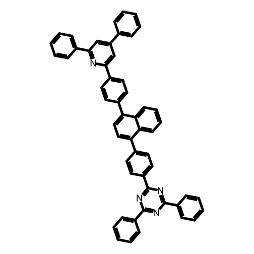 c1ccc(-c2cc(-c3ccccc3)nc(-c3ccc(-c4ccc(-c5ccc(-c6nc(-c7ccccc7)nc(-c7ccccc7)n6)cc5)c5ccccc45)cc3)c2)cc1